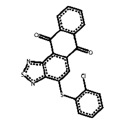 O=C1c2ccccc2C(=O)c2c1cc(Sc1ccccc1Cl)c1nsnc21